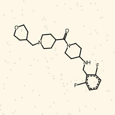 O=C(C1CCN(CC2CCOCC2)CC1)N1CCC(NCc2c(F)cccc2F)CC1